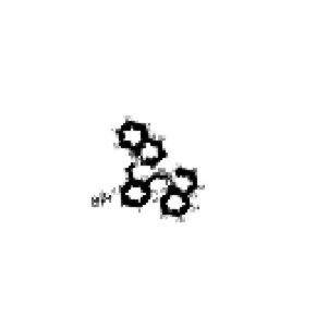 [Br-].[Br-].c1ccc(C[n+]2cccc3ccccc32)c(C[n+]2cccc3ccccc32)c1